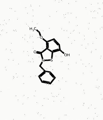 CCOc1ccc(O)c2sn(Cc3ccccc3)c(=O)c12